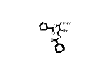 CCCCCC(OC(=O)c1ccccc1)C(COC(=O)c1ccccc1)C(C)C